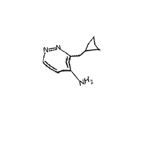 Nc1ccnnc1C1CC1